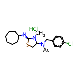 CC(=O)N(Cc1ccc(Cl)cc1)C1CSC(=NC2CCCCCC2)N1C.Cl